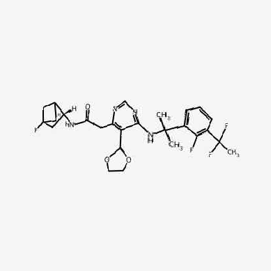 CC(F)(F)c1cccc(C(C)(C)Nc2ncnc(CC(=O)N[C@@H]3CC4(F)CC3C4)c2C2OCCO2)c1F